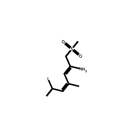 CC(=C/C(C)I)/C=C(\N)CS(C)(=O)=O